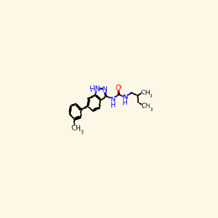 CCC(C)CNC(=O)Nc1n[nH]c2cc(-c3cccc(C)c3)ccc12